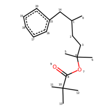 CC(CCC(C)(C)OC(=O)C(C)(C)C)Cc1ccccc1